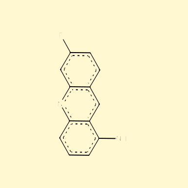 Nc1cccc2nc3cc(F)ccc3cc12